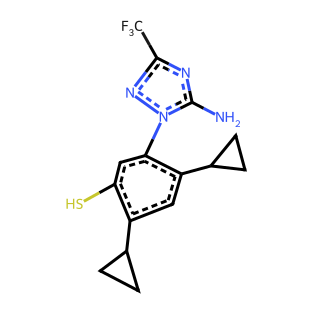 Nc1nc(C(F)(F)F)nn1-c1cc(S)c(C2CC2)cc1C1CC1